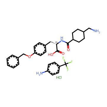 Cl.NCC1CCC(C(=O)N[C@@H](Cc2ccc(OCc3ccccc3)cc2)C(=O)O)CC1.Nc1ccc(C(F)(F)F)cc1